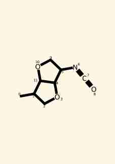 CC1COC2C(N=C=O)COC12